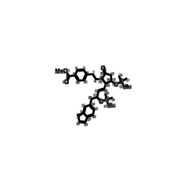 COC(=O)c1ccc(CC[C@H]2C(=O)C[C@@H](O[Si](C)(C)C(C)(C)C)[C@H]2C=CC(Cc2ccc3ccsc3c2)O[Si](C)(C)C(C)(C)C)cc1